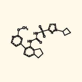 COc1cc(-c2ccc3c(c2NC(=O)NS(=O)(=O)c2ccn(C4CCC4)n2)CCC3)ccn1